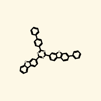 c1ccc(-c2ccc(-c3nc(-c4ccc5c(c4)oc4ccccc45)nc(-c4ccc5c(c4)oc4cc(-c6ccccc6)ccc45)n3)cc2)cc1